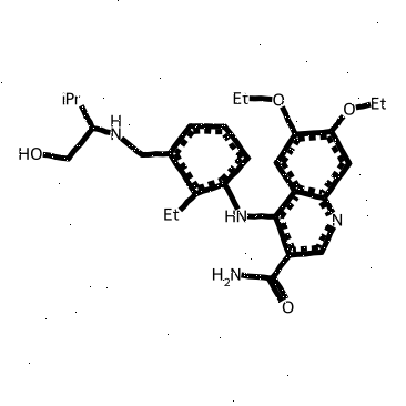 CCOc1cc2ncc(C(N)=O)c(Nc3cccc(CNC(CO)C(C)C)c3CC)c2cc1OCC